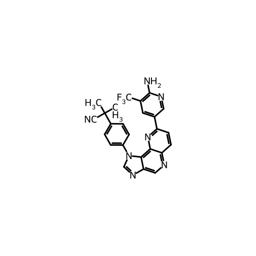 CC(C)(C#N)c1ccc(-n2cnc3cnc4ccc(-c5cnc(N)c(C(F)(F)F)c5)nc4c32)cc1